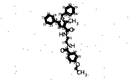 CCOc1ccc(C(=O)NCCNC(=O)c2cc(-c3ccccc3)n(Cc3ccccc3)c2C)cc1